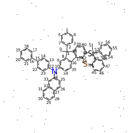 CC1(c2ccccc2)c2cc(N(c3ccc(-c4ccccc4)cc3)c3ccc4ccccc4c3)ccc2-c2c1ccc1c2Sc2ccccc2[Si]1(C)c1ccccc1